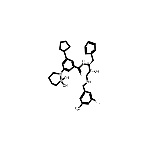 O=C(N[C@@H](Cc1ccccc1)[C@H](O)CNCc1cc(C(F)(F)F)cc(C(F)(F)F)c1)c1cc(C2CCCC2)cc(N2CCCCS2(O)O)c1